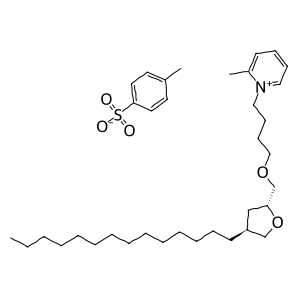 CCCCCCCCCCCCCC[C@@H]1CO[C@@H](COCCCC[n+]2ccccc2C)C1.Cc1ccc(S(=O)(=O)[O-])cc1